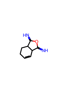 N=C1OC(=N)C2CCC=CC12